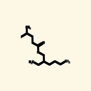 CCCCC(CC)COC(=O)CCC(C)I